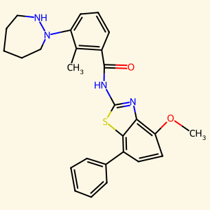 COc1ccc(-c2ccccc2)c2sc(NC(=O)c3cccc(N4CCCCCN4)c3C)nc12